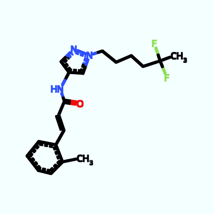 Cc1ccccc1/C=C/C(=O)Nc1cnn(CCCCC(C)(F)F)c1